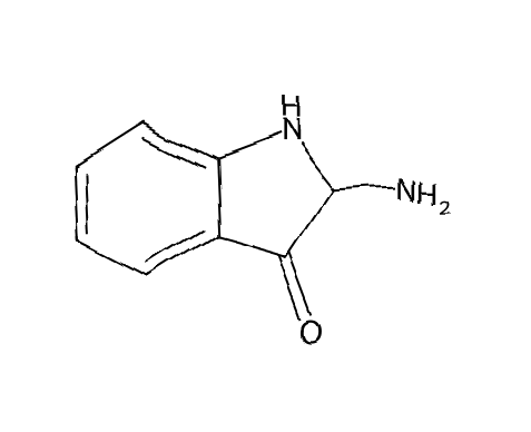 NC1Nc2ccccc2C1=O